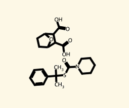 CC(C)(SC(=O)N1CCCCC1)c1ccccc1.O=C(O)C1C2CCC(O2)C1C(=O)O